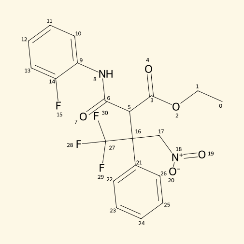 CCOC(=O)C(C(=O)Nc1ccccc1F)C(C[N+](=O)[O-])(c1ccccc1)C(F)(F)F